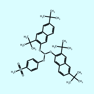 CC(C)(C)c1ccc2cc(OP(Oc3ccc(S(C)(=O)=O)cc3)Oc3cc4ccc(C(C)(C)C)cc4cc3C(C)(C)C)c(C(C)(C)C)cc2c1